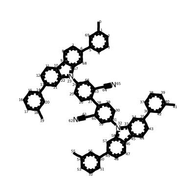 Cc1cccc(-c2ccc3c4ccc(-c5cccc(C)c5)cc4n(-c4ccc(-c5ccc(-n6c7cc(-c8cccc(C)c8)ccc7c7ccc(-c8cccc(C)c8)cc76)cc5C#N)c(C#N)c4)c3c2)c1